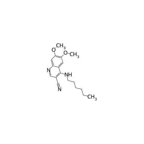 CCCCCCNc1c(C#N)cnc2cc(OC)c(OC)cc12